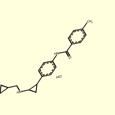 Cc1ccc(C(=O)Nc2ccc(C3CC3NCC3CC3)cc2)cc1.Cl